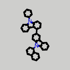 c1ccc(-n2c3ccccc3c3c(-c4ccc5c(c4)c4ccccc4n5-c4cccc5ccccc45)cccc32)cc1